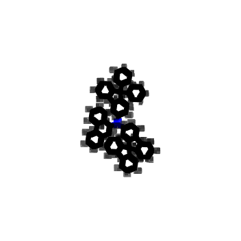 c1ccc(C2(c3ccccc3)c3ccccc3-c3cc(N(c4ccc5c(c4)C4(c6ccccc6-c6ccccc64)c4ccccc4-5)c4cc5ccccc5c5ccccc45)ccc32)cc1